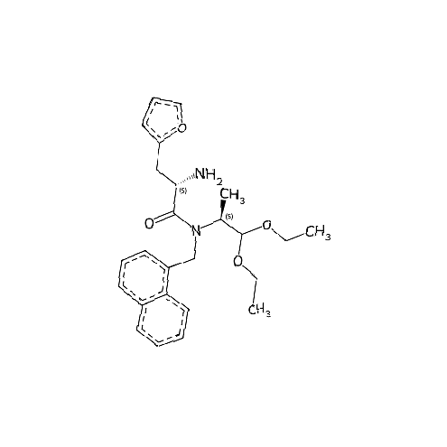 CCOC(OCC)[C@H](C)N(Cc1cccc2ccccc12)C(=O)[C@@H](N)Cc1ccco1